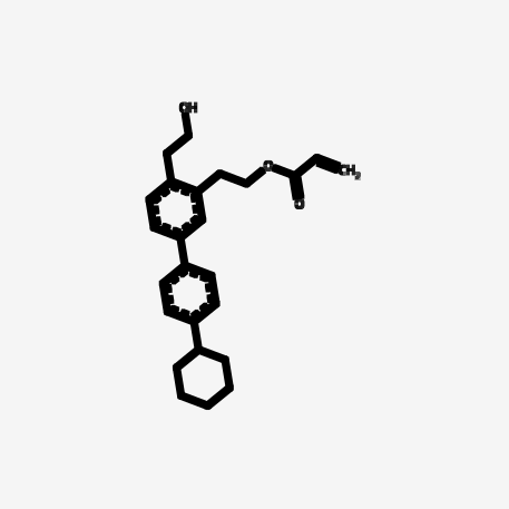 C=CC(=O)OCCc1cc(-c2ccc(C3CCCCC3)cc2)ccc1CCO